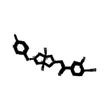 Cc1ccc(O[C@@H]2C[C@@H]3CN(CC(=O)c4ccc(O)c(F)c4)C[C@@H]3C2)cn1